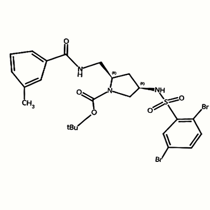 Cc1cccc(C(=O)NC[C@H]2C[C@@H](NS(=O)(=O)c3cc(Br)ccc3Br)CN2C(=O)OC(C)(C)C)c1